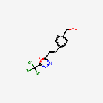 OCc1ccc(C=Cc2nnc(C(Br)(Br)Br)o2)cc1